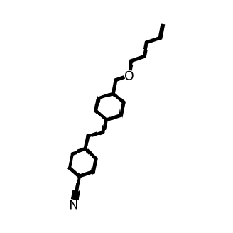 CCCCCOCC1CCC(CCC2CCC(C#N)CC2)CC1